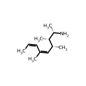 C/C=C\C(C)=C/[C@@H](C)[C@H](C)[C@H](C)N